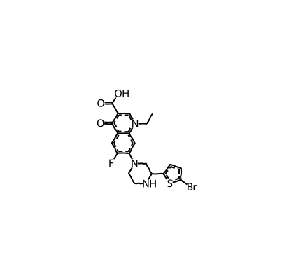 CCn1cc(C(=O)O)c(=O)c2cc(F)c(N3CCNC(c4ccc(Br)s4)C3)cc21